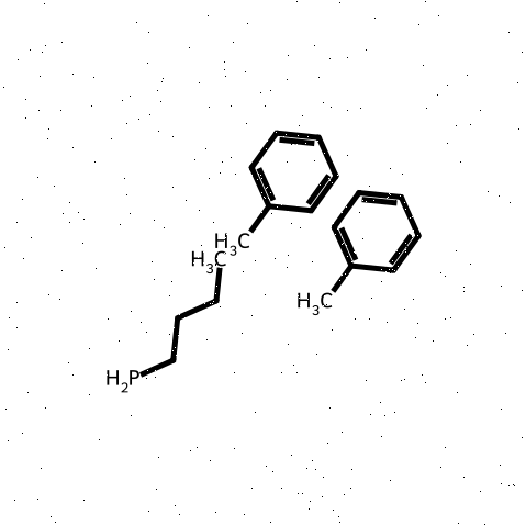 CCCCP.Cc1ccccc1.Cc1ccccc1